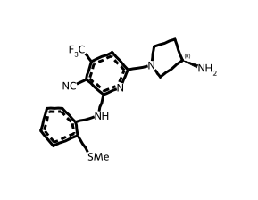 CSc1ccccc1Nc1nc(N2CC[C@@H](N)C2)cc(C(F)(F)F)c1C#N